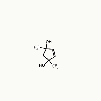 OC1(C(F)(F)F)C=CC(O)(C(F)(F)F)C1